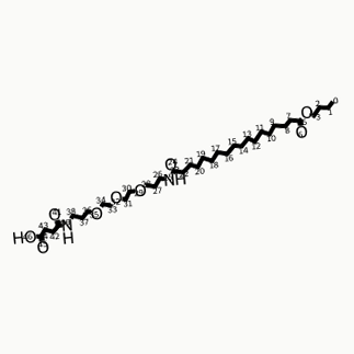 CCCCOC(=O)CCCCCCCCCCCCCCCCC(=O)NCCCOCCOCCOCCCNC(=O)CCC(=O)O